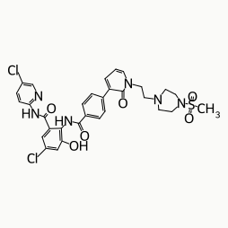 CS(=O)(=O)N1CCN(CCn2cccc(-c3ccc(C(=O)Nc4c(O)cc(Cl)cc4C(=O)Nc4ccc(Cl)cn4)cc3)c2=O)CC1